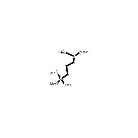 CCCCCCN(CCCCCC)CCC[Si](OC)(OC)OC